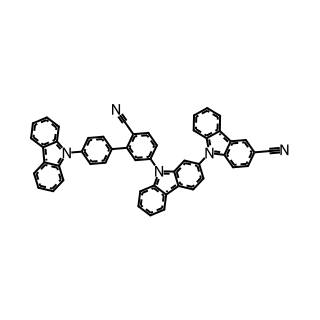 N#Cc1ccc2c(c1)c1ccccc1n2-c1ccc2c3ccccc3n(-c3ccc(C#N)c(-c4ccc(-n5c6ccccc6c6ccccc65)cc4)c3)c2c1